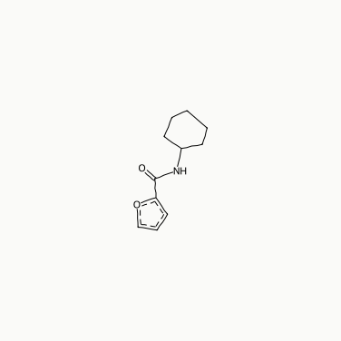 O=C(NC1CCCCC1)c1ccco1